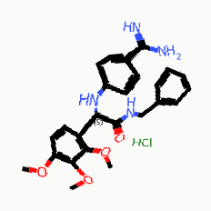 COc1ccc([C@H](Nc2ccc(C(=N)N)cc2)C(=O)NCc2ccccc2)c(OC)c1OC.Cl